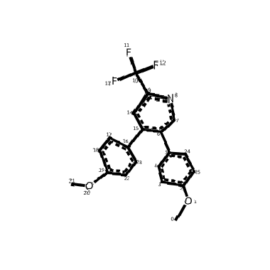 COc1ccc(-c2cnc(C(F)(F)F)cc2-c2ccc(OC)cc2)cc1